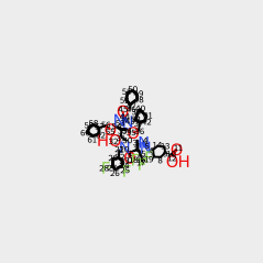 O=C(c1cnn([C@H]2CC[C@H](C(=O)O)CC2)c1C(F)(F)F)N(Cc1cc(F)cc(F)c1)CC(O)c1c(OCc2ccccc2)nc(OCc2ccccc2)nc1OCc1ccccc1